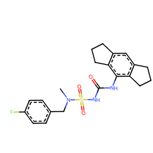 CN(Cc1ccc(F)cc1)S(=O)(=O)NC(=O)Nc1c2c(cc3c1CCC3)CCC2